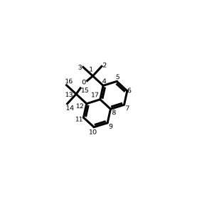 CC(C)(C)c1cccc2cccc(C(C)(C)C)c12